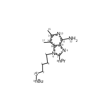 CCCCSCCCCn1c(CCC)nc2c(N)nc(C)c(C)c21